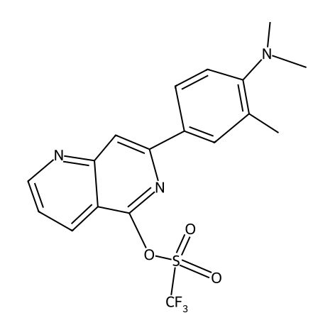 Cc1cc(-c2cc3ncccc3c(OS(=O)(=O)C(F)(F)F)n2)ccc1N(C)C